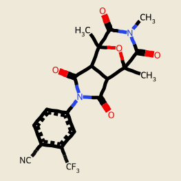 CN1C(=O)C2(C)OC(C)(C1=O)C1C(=O)N(c3ccc(C#N)c(C(F)(F)F)c3)C(=O)C12